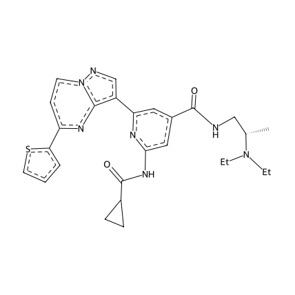 CCN(CC)[C@@H](C)CNC(=O)c1cc(NC(=O)C2CC2)nc(-c2cnn3ccc(-c4cccs4)nc23)c1